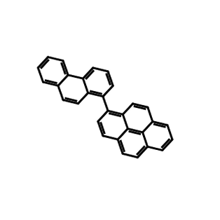 c1ccc2c(c1)ccc1c(-c3ccc4ccc5cccc6ccc3c4c56)cccc12